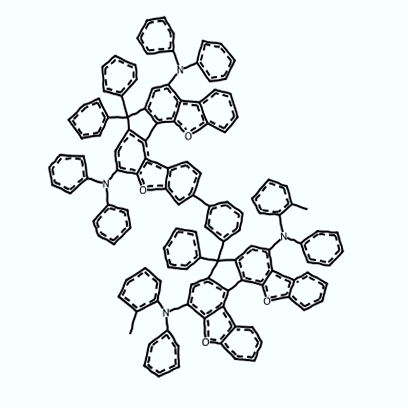 Cc1ccccc1N(c1ccccc1)c1cc2c(c3c1oc1ccccc13)-c1c(cc(N(c3ccccc3)c3ccccc3C)c3c1oc1ccccc13)C2(c1ccccc1)c1cccc(-c2ccc3c(c2)oc2c(N(c4ccccc4)c4ccccc4)cc4c(c23)-c2c(cc(N(c3ccccc3)c3ccccc3)c3c2oc2ccccc23)C4(c2ccccc2)c2ccccc2)c1